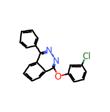 Clc1cccc(Oc2nnc(-c3ccccc3)c3ccccc23)c1